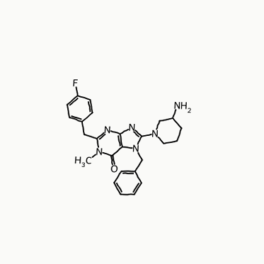 Cn1c(Cc2ccc(F)cc2)nc2nc(N3CCCC(N)C3)n(Cc3ccccc3)c2c1=O